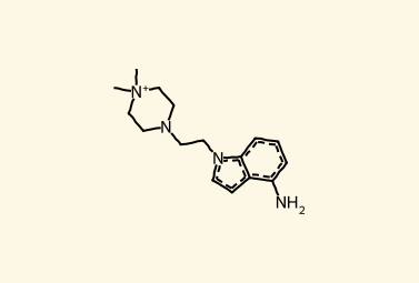 C[N+]1(C)CCN(CCn2ccc3c(N)cccc32)CC1